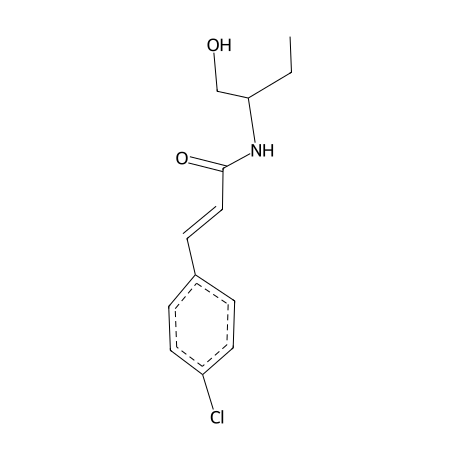 CCC(CO)NC(=O)/C=C/c1ccc(Cl)cc1